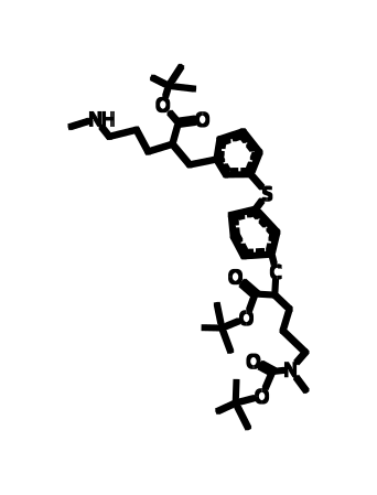 CNCCCC(Cc1cccc(Sc2cccc(CC(CCCN(C)C(=O)OC(C)(C)C)C(=O)OC(C)(C)C)c2)c1)C(=O)OC(C)(C)C